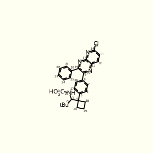 CC(C)(C)C(NC(=O)O)C1(c2ccc(-c3nc4ccc(Cl)nc4nc3-c3ccccc3)cc2)CCC1